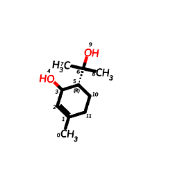 CC1=CC(O)[C@H](C(C)(C)O)CC1